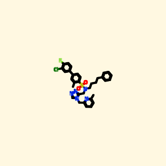 Cc1cccc(Cn2cnnc2CN(CCCCc2ccccc2)S(=O)(=O)c2ccc(-c3ccc(F)c(Cl)c3)cc2C)n1